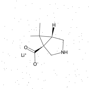 CC1(C)[C@@H]2CNC[C@@]21C(=O)[O-].[Li+]